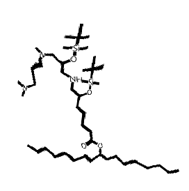 CCCCCCCCC(CCCCCCCC)OC(=O)CCCCC(CNCC(CN(C)CCCN(C)C)O[Si](C)(C)C(C)(C)C)O[Si](C)(C)C(C)(C)C